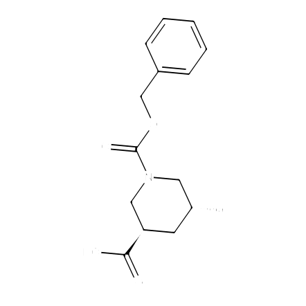 C[C@@H]1C[C@@H](C(=O)O)CN(C(=O)OCc2ccccc2)C1